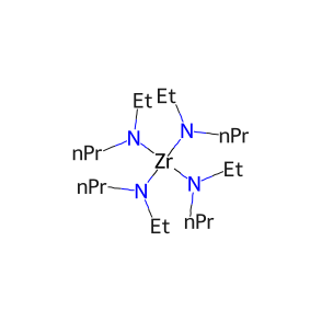 CCC[N](CC)[Zr]([N](CC)CCC)([N](CC)CCC)[N](CC)CCC